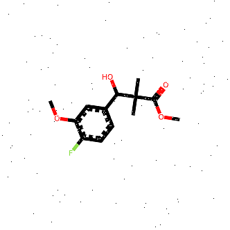 COC(=O)C(C)(C)C(O)c1ccc(F)c(OC)c1